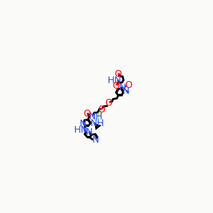 Cn1c(=O)n(C2CCC(=O)NC2=O)c2ccc(CCCOCCOCC(F)CNC(=O)c3cnc(Nc4ccc5cnccc5n4)cc3NC3CC3)cc21